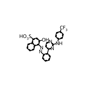 O=S(=O)(O)c1cc(O)c(/N=N/c2ccccc2-c2ccnc(Nc3ccc(C(F)(F)F)cc3)n2)c2ccccc12